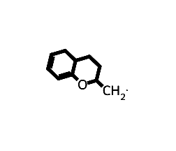 [CH2]C1CCC2CC=CC=C2O1